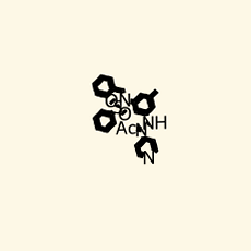 CC(=O)N(Nc1cc(C)cc(N(Cc2ccccc2)S(=O)(=O)c2ccccc2)c1)c1ccncc1